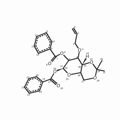 C=CCOC1C(OC(=O)c2ccccc2)[C@H](OC(=O)c2ccccc2)OC2COC(C)(C)O[C@H]21